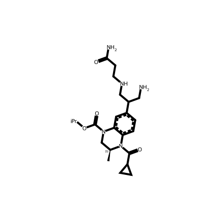 CC(C)OC(=O)N1C[C@H](C)N(C(=O)C2CC2)c2ccc(C(CN)CNCCC(N)=O)cc21